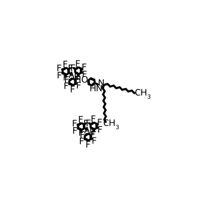 CCCCCCCCCCCc1nc(-c2ccc(O)cc2)[nH]c1CCCCCCCCCCC.Fc1c(F)c(F)[c]([Al]([c]2c(F)c(F)c(F)c(F)c2F)[c]2c(F)c(F)c(F)c(F)c2F)c(F)c1F.Fc1c(F)c(F)[c]([Al]([c]2c(F)c(F)c(F)c(F)c2F)[c]2c(F)c(F)c(F)c(F)c2F)c(F)c1F